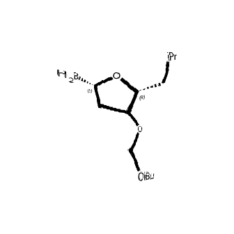 B[C@H]1CC(OCOCC(C)C)[C@@H](CC(C)C)O1